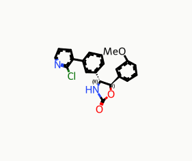 COc1cccc([C@H]2OC(=O)N[C@@H]2c2cccc(-c3cccnc3Cl)c2)c1